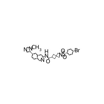 Cn1cncc1-c1ccc2cnc(NC(=O)C3CC4(C3)CN(S(=O)(=O)c3ccc(Br)cc3)C4)cc2c1